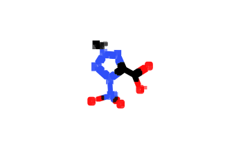 O=C([O-])c1nnnn1[N+](=O)[O-].[Na+]